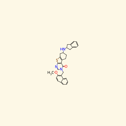 COc1ccc2ccccc2c1Cn1cnc2sc3c(c2c1=O)CCC(NC1Cc2ccccc2C1)C3